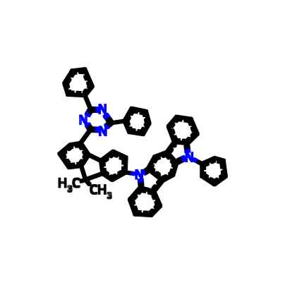 CC1(C)c2cc(-n3c4ccccc4c4cc5c(cc43)c3ccccc3n5-c3ccccc3)ccc2-c2c(-c3nc(-c4ccccc4)nc(-c4ccccc4)n3)cccc21